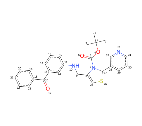 CC(C)(C)OC(=O)N1C(CNc2cccc(C(=O)c3ccccc3)c2)=CSC1c1cccnc1